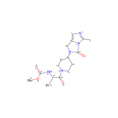 Cc1ncc2n1C(=O)N(C1CCN(C(=O)C(NC(=O)OC(C)(C)C)C(C)C)CC1)C2